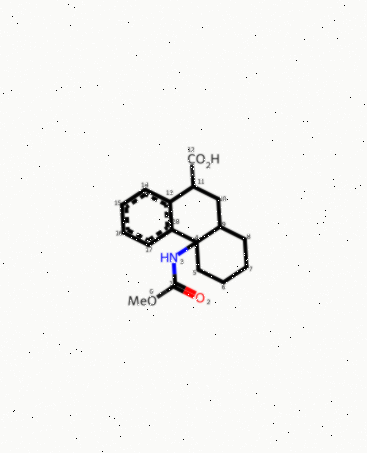 COC(=O)NC12CCCCC1CC(C(=O)O)c1ccccc12